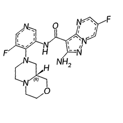 Nc1nn2cc(F)cnc2c1C(=O)Nc1cncc(F)c1N1CCN2CCOC[C@H]2C1